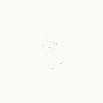 C(=N\c1ccccc1Nc1cccc2c1-c1ccccc1C21c2ccccc2-c2ccccc21)/c1ccccc1